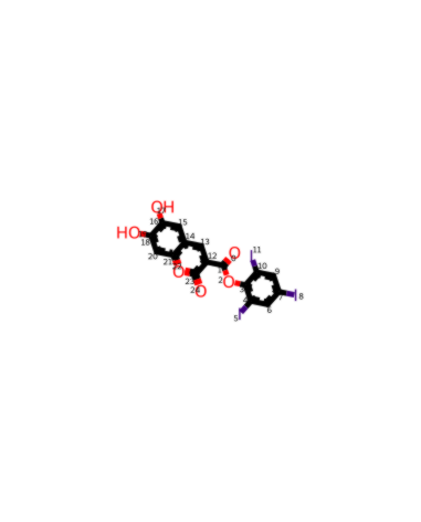 O=C(Oc1c(I)cc(I)cc1I)c1cc2cc(O)c(O)cc2oc1=O